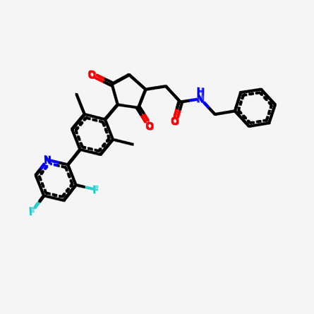 Cc1cc(-c2ncc(F)cc2F)cc(C)c1C1C(=O)CC(CC(=O)NCc2ccccc2)C1=O